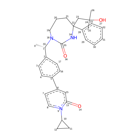 C[C@@H](c1ccc(-c2ccn(C3CC3)c(=O)c2)cc1)N1CCCC(CC(C)(C)O)(c2ccccc2)NC1=O